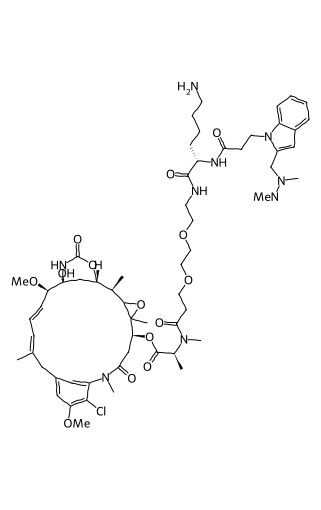 CNN(C)Cc1cc2ccccc2n1CCC(=O)N[C@@H](CCCCN)C(=O)NCCOCCOCCC(=O)N(C)[C@@H](C)C(=O)O[C@H]1CC(=O)N(C)c2cc(cc(OC)c2Cl)C/C(C)=C/C=C/[C@@H](OC)[C@@]2(O)C[C@H](OC(=O)N2)[C@@H](C)C2OC21C